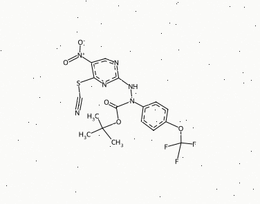 CC(C)(C)OC(=O)N(Nc1ncc([N+](=O)[O-])c(SC#N)n1)c1ccc(OC(F)(F)F)cc1